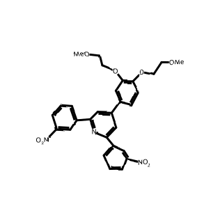 COCCOc1ccc(-c2cc(-c3cccc([N+](=O)[O-])c3)nc(-c3cccc([N+](=O)[O-])c3)c2)cc1OCCOC